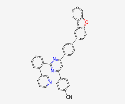 N#Cc1ccc(-c2cc(-c3ccc(-c4ccc5oc6ccccc6c5c4)cc3)nc(-c3ccccc3-c3cccnc3)n2)cc1